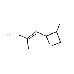 CCC1COC1/C=C(\C)C(=O)O